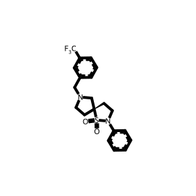 O=S1(=O)N(c2ccccc2)CC[C@]12CCN(Cc1cccc(C(F)(F)F)c1)C2